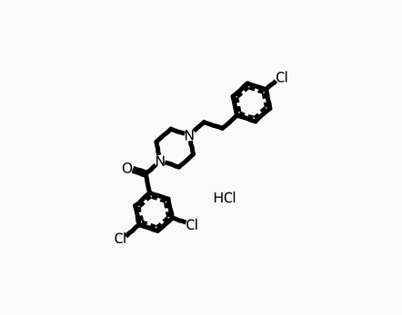 Cl.O=C(c1cc(Cl)cc(Cl)c1)N1CCN(CCc2ccc(Cl)cc2)CC1